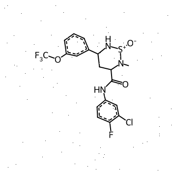 CN1C(C(=O)Nc2ccc(F)c(Cl)c2)CC(c2cccc(OC(F)(F)F)c2)N[S+]1[O-]